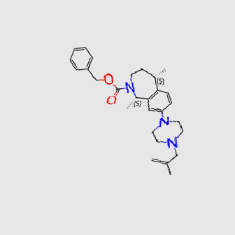 C=C(C)CN1CCN(c2ccc3c(c2)[C@H](C)N(C(=O)OCc2ccccc2)CC[C@@H]3C)CC1